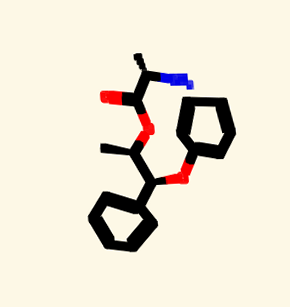 C[C@H](N)C(=O)O[C@H](C)[C@@H](Oc1ccccc1)c1ccccc1